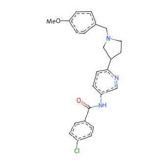 COc1ccc(CN2CCC(c3ccc(NC(=O)c4ccc(Cl)cc4)cn3)C2)cc1